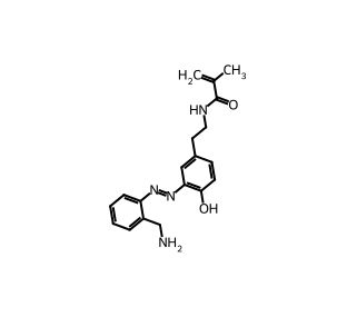 C=C(C)C(=O)NCCc1ccc(O)c(N=Nc2ccccc2CN)c1